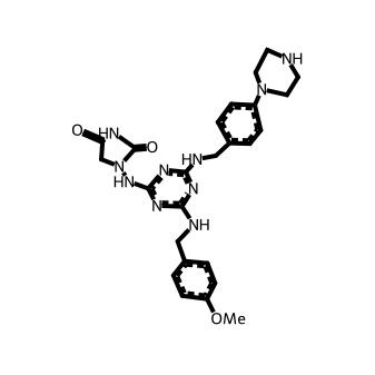 COc1ccc(CNc2nc(NCc3ccc(N4CCNCC4)cc3)nc(NN3CC(=O)NC3=O)n2)cc1